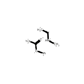 CC(C)OC(N)=O.CCNC